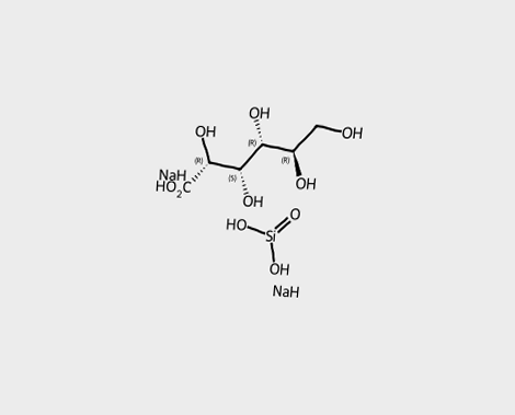 O=C(O)[C@H](O)[C@@H](O)[C@H](O)[C@H](O)CO.O=[Si](O)O.[NaH].[NaH]